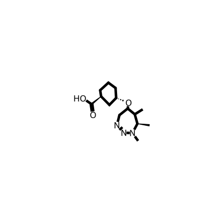 CC1C(O[C@H]2CCC[C@H](C(=O)O)C2)CN=NN(C)[C@@H]1C